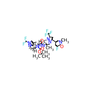 [2H]C([2H])([2H])N(C(=O)OC(C)(C)C)[C@H](Cc1cnn(C(F)F)c1)C(=O)NC(C)(C)Cn1nc(C(F)(F)F)cc1-c1cc(F)c(=O)n(C)c1